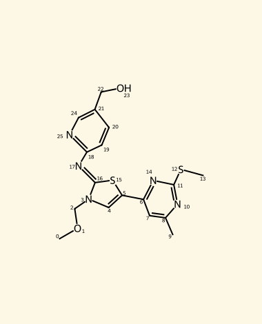 COCn1cc(-c2cc(C)nc(SC)n2)s/c1=N\c1ccc(CO)cn1